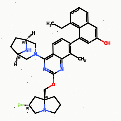 CCc1cccc2cc(O)cc(-c3ccc4c(N5C[C@H]6CC[C@@H](C5)N6)nc(OC[C@@]56CCCN5C[C@H](F)C6)nc4c3C)c12